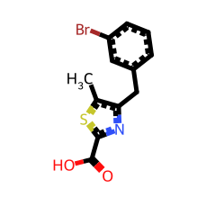 Cc1sc(C(=O)O)nc1Cc1cccc(Br)c1